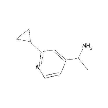 CC(N)c1ccnc(C2CC2)c1